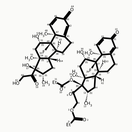 CCC(=O)OCC(=O)[C@@]1(OC(=O)CC)[C@@H](C)C[C@H]2[C@@H]3CCC4=CC(=O)C=C[C@]4(C)[C@@]3(F)[C@@H](O)C[C@@]21C.C[C@H]1C[C@H]2[C@@H]3CCC4=CC(=O)C=C[C@]4(C)[C@@]3(F)[C@@H](O)C[C@]2(C)[C@@]1(O)C(=O)CO